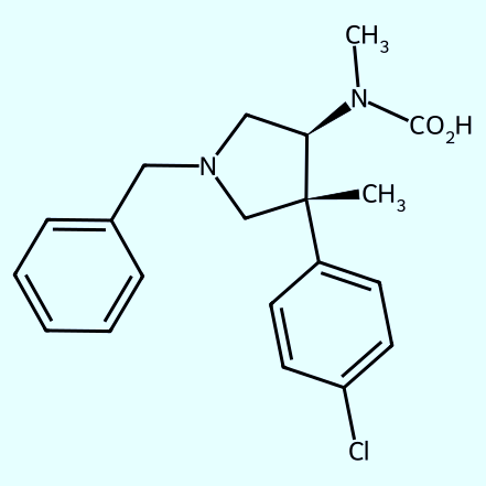 CN(C(=O)O)[C@@H]1CN(Cc2ccccc2)C[C@@]1(C)c1ccc(Cl)cc1